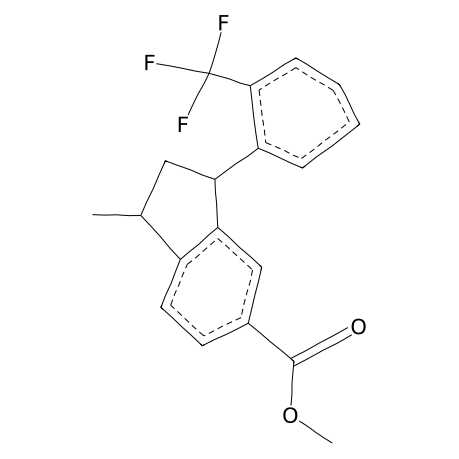 COC(=O)c1ccc2c(c1)C(c1ccccc1C(F)(F)F)CC2C